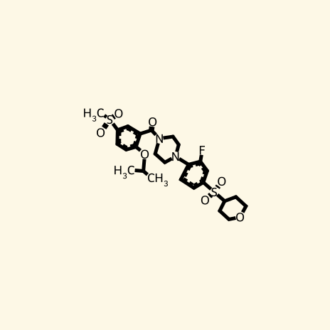 CC(C)Oc1ccc(S(C)(=O)=O)cc1C(=O)N1CCN(c2ccc(S(=O)(=O)C3CCOCC3)cc2F)CC1